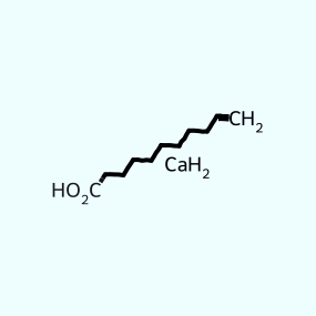 C=CCCCCCCCCC(=O)O.[CaH2]